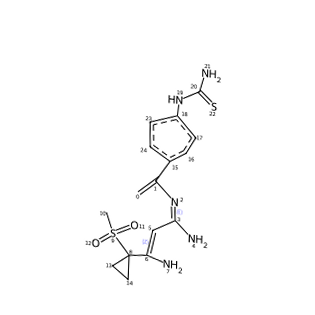 C=C(/N=C(N)\C=C(/N)C1(S(C)(=O)=O)CC1)c1ccc(NC(N)=S)cc1